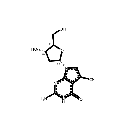 N#Cc1cn([C@@H]2C[C@H](O)[C@@H](CO)O2)c2nc(N)[nH]c(=O)c12